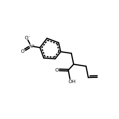 C=CCC(Cc1ccc([N+](=O)[O-])cc1)C(=O)O